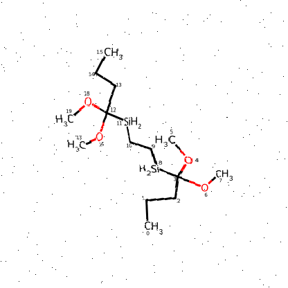 CCCC(OC)(OC)[SiH2]CC[SiH2]C(CCC)(OC)OC